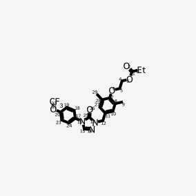 CCC(=O)OCCOc1c(C)cc(Cn2ncn(-c3ccc(OC(F)(F)F)cc3)c2=O)cc1C